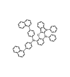 c1ccc(N2c3cccc(N(c4ccc(-c5cccc6ccccc56)cc4)c4ccc(-c5cccc6ccccc56)cc4)c3Oc3c2n(-c2ccccc2)c2ccccc32)cc1